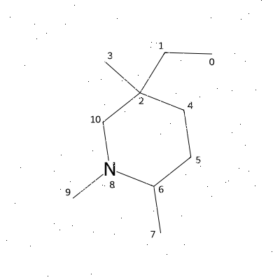 CCC1(C)CCC(C)N(C)C1